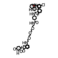 CC1([C@H]2[C@H](C(=O)N[C@H]3CC[C@H](C(=O)NCCOCCOCCOCCNc4cccc5c4CN(C4CCC(=O)NC4=O)C5=O)CC3)NC3(CCCCC3)[C@@]23C(=O)Nc2cc(Cl)ccc23)C=C(F)C=CC1